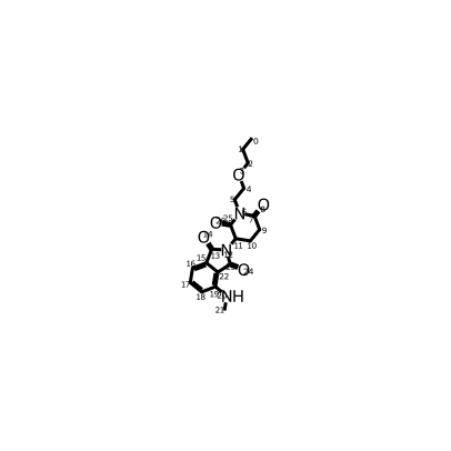 CCCOCCN1C(=O)CCC(N2C(=O)c3cccc(NC)c3C2=O)C1=O